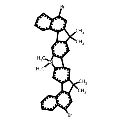 CC1(C)c2cc3c(cc2-c2c1cc(Br)c1ccccc21)[Si](C)(C)c1cc2c(cc1-3)C(C)(C)c1cc(Br)c3ccccc3c1-2